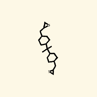 CC(C)(C1CCC(CC2CS2)CC1)C1CCC(CC2CS2)CC1